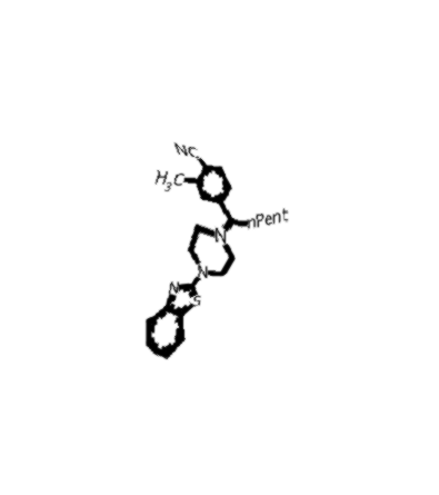 CCCCCC(c1ccc(C#N)c(C)c1)N1CCN(c2nc3ccccc3s2)CC1